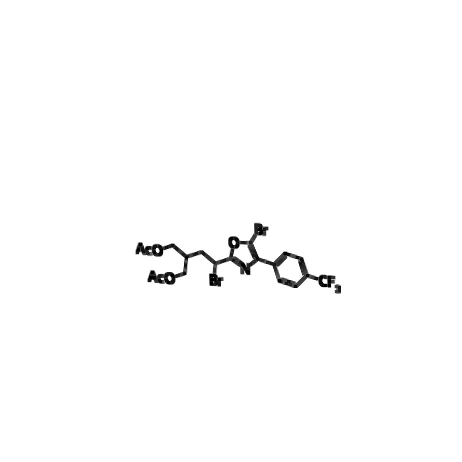 CC(=O)OCC(COC(C)=O)CC(Br)c1nc(-c2ccc(C(F)(F)F)cc2)c(Br)o1